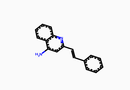 Nc1cc(C=Cc2ccccc2)nc2ccccc12